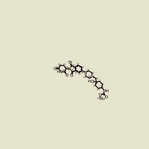 CC(C)(C)OC(=O)NC1CCC(O)(CN2CCN(c3ccc4c(c3)C(=O)N(C3CCC(=O)NC3=O)C4=O)CC2)CC1